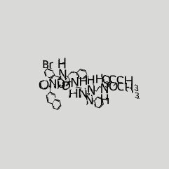 CC(C)(C)OC(=O)NCCN/C(=N\c1ccccc1)NCCNC(=O)[C@H](Cc1ccccc1)NC(=O)c1cc(Br)ccc1NC(=O)c1ccc2ccccc2c1